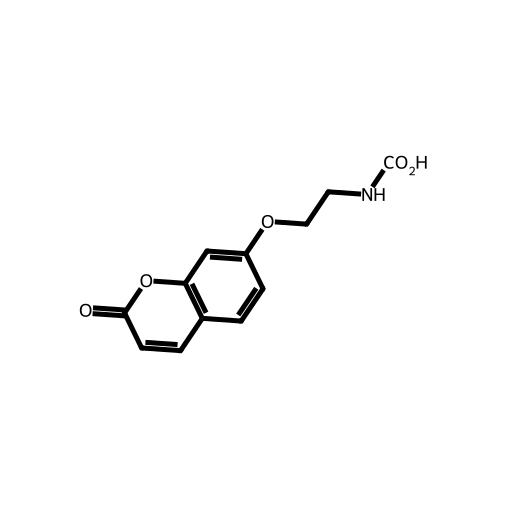 O=C(O)NCCOc1ccc2ccc(=O)oc2c1